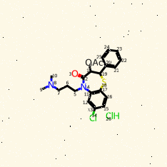 CC(=O)OC1C(=O)N(CCCN(C)C)c2cc(Cl)ccc2SC1c1ccccc1.Cl